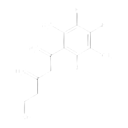 C=C(CCC)CC(=C)c1c(C)c(F)c(F)c(C)c1F